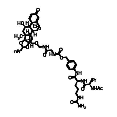 CCCC1O[C@@H]2C[C@H]3[C@@H]4CCC5=CC(=O)C=C[C@]5(C)[C@H]4[C@@H](O)C[C@]3(C)[C@]2(C(=O)COCNC(=O)CNC(=O)OCc2ccc(NC(=O)[C@H](CCCNC(N)=O)NC(=O)[C@@H](NC(C)=O)C(C)C)cc2)O1